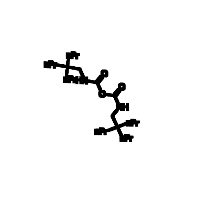 CCCC(CCC)(CCC)CNC(=O)OC(=O)NCC(CCC)(CCC)CCC